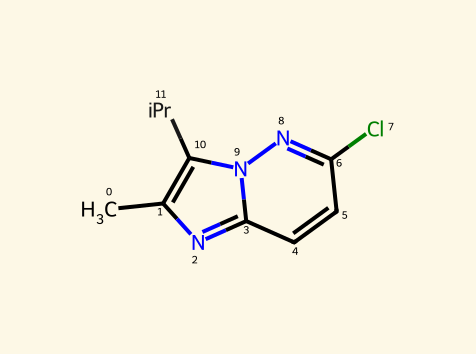 Cc1nc2ccc(Cl)nn2c1C(C)C